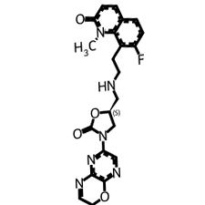 Cn1c(=O)ccc2ccc(F)c(CCNC[C@H]3CN(c4cnc5c(n4)N=CCO5)C(=O)O3)c21